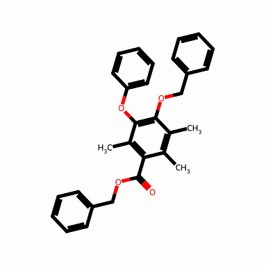 Cc1c(C)c(C(=O)OCc2ccccc2)c(C)c(Oc2ccccc2)c1OCc1ccccc1